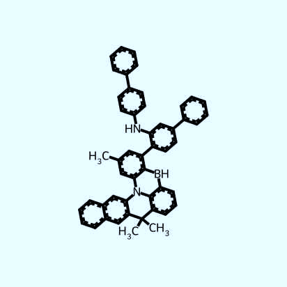 Cc1cc(-c2ccc(-c3ccccc3)cc2Nc2ccc(-c3ccccc3)cc2)c2c(c1)N1c3cc4ccccc4cc3C(C)(C)c3cccc(c31)B2